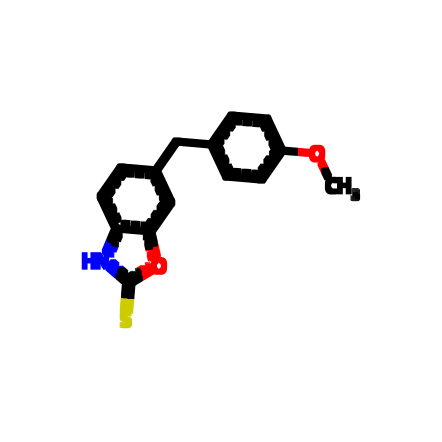 COc1ccc(Cc2ccc3[nH]c(=S)oc3c2)cc1